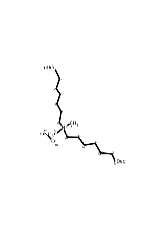 CCCCCCCCCCCCCCCC[N+](C)(C)CCCCCCCCCCCCCCCC.O=N[O-]